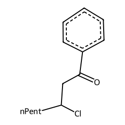 CCCCCC(Cl)CC(=O)c1ccccc1